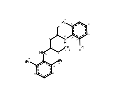 CC(CC(CC(F)(F)F)Nc1c(C(C)C)cccc1C(C)C)Nc1c(C(C)C)cccc1C(C)C